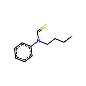 CCCCN([C]=S)c1ccccc1